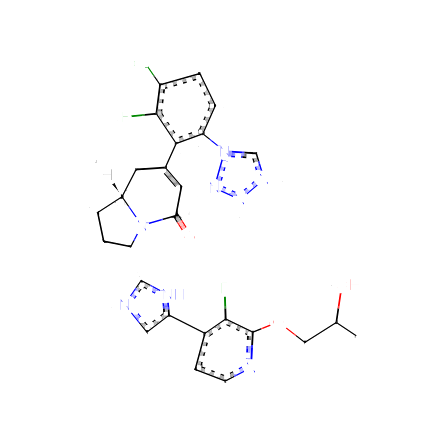 CC(O)COc1nccc(-c2cnc([C@@H]3CC[C@@H]4CC(c5c(-n6cnnn6)ccc(Cl)c5F)=CC(=O)N43)[nH]2)c1F